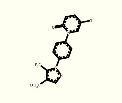 CCOC(=O)c1cnn(-c2ccc(-n3cc(Cl)ccc3=O)cc2)c1C(F)(F)F